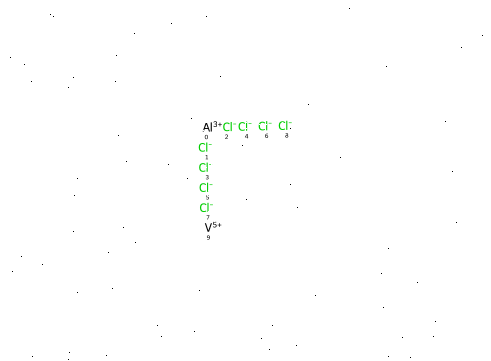 [Al+3].[Cl-].[Cl-].[Cl-].[Cl-].[Cl-].[Cl-].[Cl-].[Cl-].[V+5]